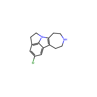 Brc1cc2c3c(c1)c1c(n3CC2)CCNCC1